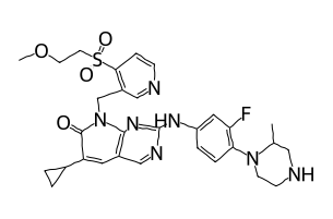 COCCS(=O)(=O)c1ccncc1Cn1c(=O)c(C2CC2)cc2cnc(Nc3ccc(N4CCNCC4C)c(F)c3)nc21